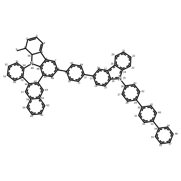 CC1C=CC=C2c3cc(-c4ccc(-c5ccc6c(c5)c5ccccc5n6-c5ccc(-c6ccc(-c7ccccc7)cc6)cc5)cc4)cc4c3N(c3ccccc3-c3cc5ccccc5cc3-4)C21